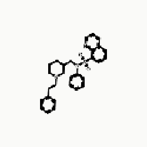 O=S(=O)(c1cccc2cccnc12)N(CC1CCCN(CCc2ccccc2)C1)c1ccccc1